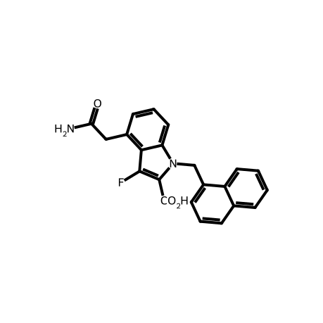 NC(=O)Cc1cccc2c1c(F)c(C(=O)O)n2Cc1cccc2ccccc12